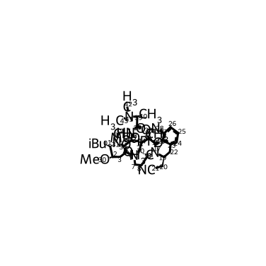 CC[C@H](C)[C@@H]([C@@H](CC(=O)N1CCC[C@H]1[C@H](OC)[C@@H](C)C(=O)N(C)[C@H](CC#N)Cc1cccc([N+](=O)[O-])c1)OC)N(C)C(=O)[C@@H](NC(=O)[C@H](C)N(C)C)C(C)C